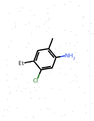 CCc1cc(C)c(N)cc1Cl